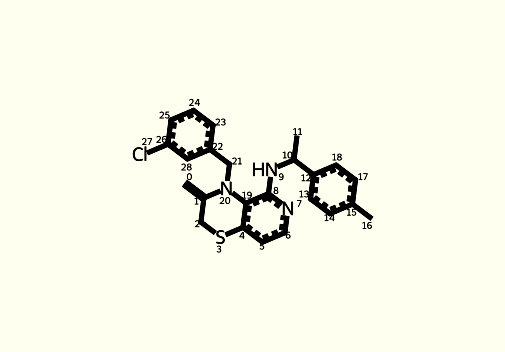 C=C1CSc2ccnc(NC(C)c3ccc(C)cc3)c2N1Cc1cccc(Cl)c1